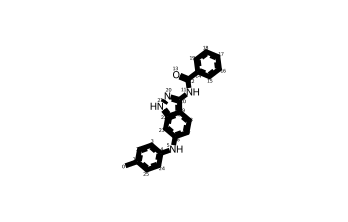 Cc1ccc(Nc2ccc3c(NC(=O)c4ccccc4)n[nH]c3c2)cc1